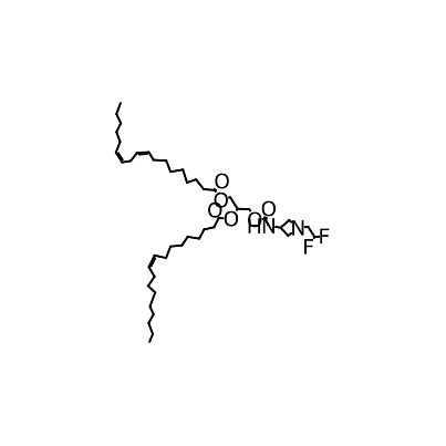 CCCCC/C=C\C/C=C\CCCCCCCC(=O)OCC(COC(=O)NC1CN(CC(F)F)C1)OC(=O)CCCCCCC/C=C\CCCCCCCC